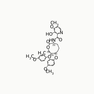 COc1ccc(O[C@H]2[C@H](C)OC(=O)[C@@H](NC(=O)c3nccc(OC)c3O)CCC[C@@H]2Oc2ccc(OC)cc2)cc1